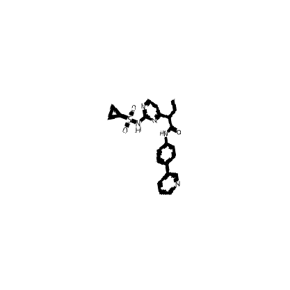 CCC(C(=O)Nc1ccc(-c2cccnc2)cc1)c1ccnc(NS(=O)(=O)C2CC2)n1